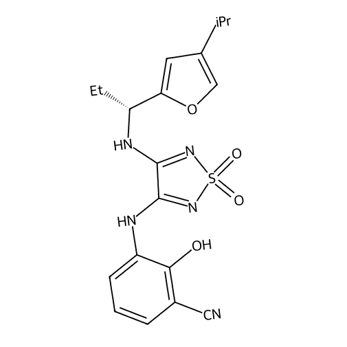 CC[C@@H](NC1=NS(=O)(=O)N=C1Nc1cccc(C#N)c1O)c1cc(C(C)C)co1